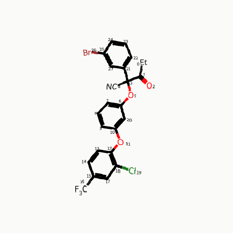 CCC(=O)C(C#N)(Oc1cccc(Oc2ccc(C(F)(F)F)cc2Cl)c1)c1cccc(Br)c1